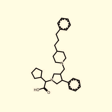 O=C(O)C(C1CCCC1)N1CC(CN2CCC(CCCc3ccccc3)CC2)C(c2ccccc2)C1